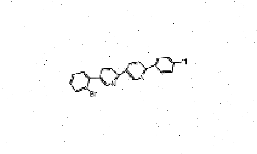 Clc1ccc(-c2ccc(-c3ccc(-c4ccccc4Br)cn3)cn2)cc1